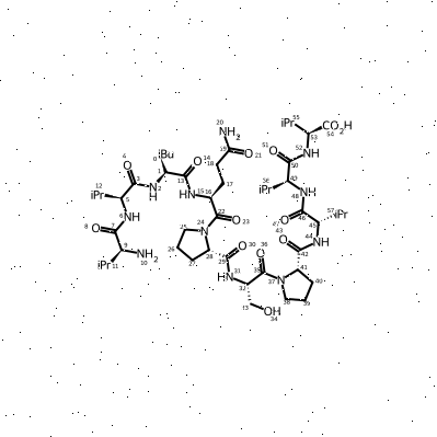 CC[C@H](C)[C@H](NC(=O)[C@@H](NC(=O)[C@@H](N)C(C)C)C(C)C)C(=O)N[C@@H](CCC(N)=O)C(=O)N1CCC[C@H]1C(=O)N[C@@H](CO)C(=O)N1CCC[C@H]1C(=O)N[C@H](C(=O)N[C@H](C(=O)N[C@H](C(=O)O)C(C)C)C(C)C)C(C)C